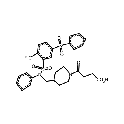 O=C(O)CCC(=O)N1CCC(CN(c2ccccc2)S(=O)(=O)c2cc(S(=O)(=O)c3ccccc3)ccc2C(F)(F)F)CC1